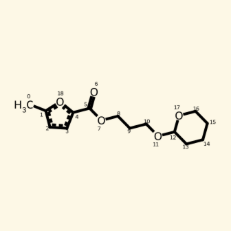 Cc1ccc(C(=O)OCCCOC2CCCCO2)o1